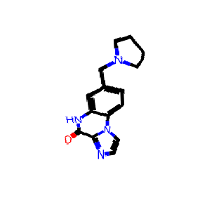 O=c1[nH]c2cc(CN3CCCC3)ccc2n2ccnc12